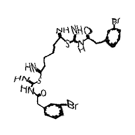 N=C(CCCCC(=N)SC(=N)NC(=O)Cc1cccc(Br)c1)SC(=N)NC(=O)Cc1cccc(Br)c1